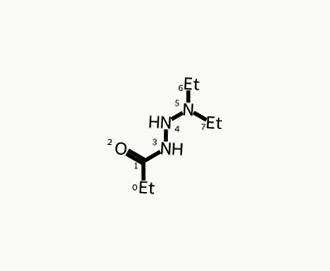 CCC(=O)NNN(CC)CC